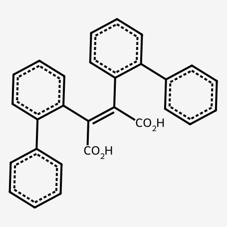 O=C(O)/C(=C(\C(=O)O)c1ccccc1-c1ccccc1)c1ccccc1-c1ccccc1